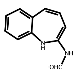 O=[C]NC1=CC=Cc2ccccc2N1